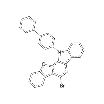 Brc1cc2c3ccccc3n(-c3ccc(-c4ccccc4)cc3)c2c2oc3ccccc3c12